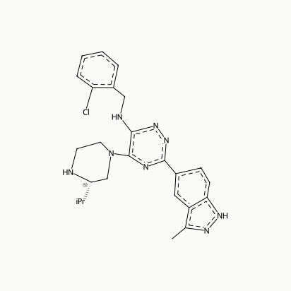 Cc1n[nH]c2ccc(-c3nnc(NCc4ccccc4Cl)c(N4CCN[C@@H](C(C)C)C4)n3)cc12